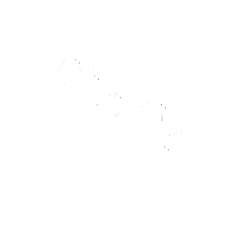 Cc1ccnc(Nc2cccc(-c3cnc(C(=O)NCCO)s3)n2)c1